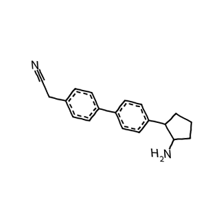 N#CCc1ccc(-c2ccc(C3CCCC3N)cc2)cc1